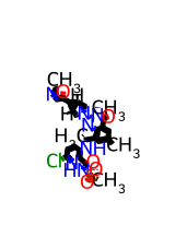 Cc1cc([C@@H](C)Nc2ccc(Cl)nc2C(=O)NS(C)(=O)=O)c2nc(N3C[C@@H]4C(c5cnc(C)o5)[C@@H]4C3)n(C)c(=O)c2c1